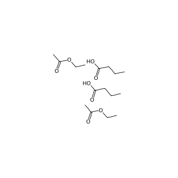 CCCC(=O)O.CCCC(=O)O.CCOC(C)=O.CCOC(C)=O